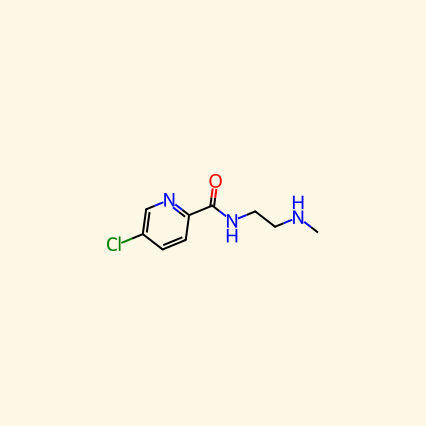 CNCCNC(=O)c1ccc(Cl)cn1